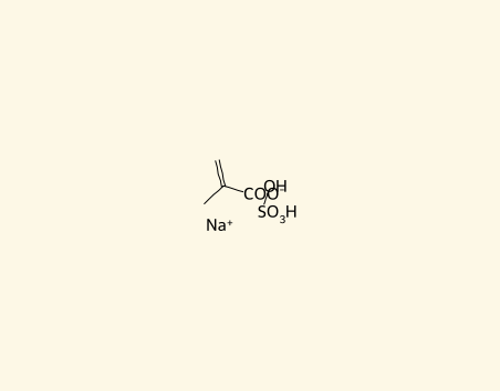 C=C(C)C(=O)[O-].O=S(=O)(O)O.[Na+]